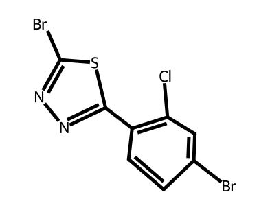 Clc1cc(Br)ccc1-c1nnc(Br)s1